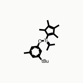 CC1=C(C)C(C)[C]([Ti]([O]c2cc(C)cc(C(C)(C)C)c2)=[C](C)C)=C1C